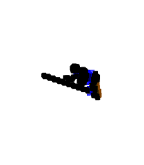 CCCCCCCCCCCCCCCCCCCCn1c2cc(C)sc2c2sc(-c3ccc(C)c4nc(-c5ccc6c7ccccc7n(CCCCCC)c6c5)c(-c5ccccc5)nc34)cc21